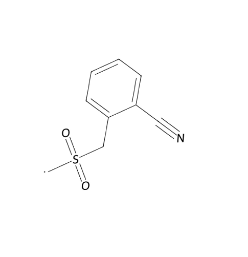 [CH2]S(=O)(=O)Cc1ccccc1C#N